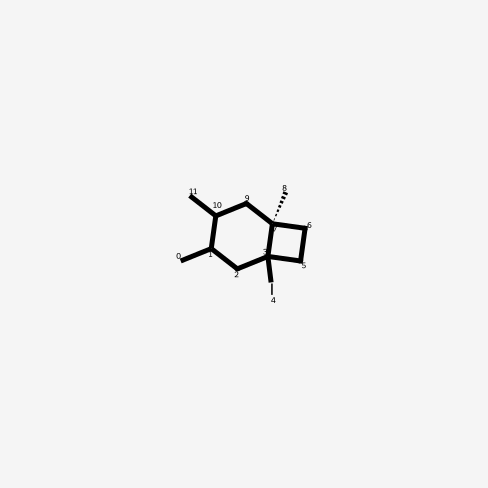 CC1CC2(I)CC[C@]2(C)CC1C